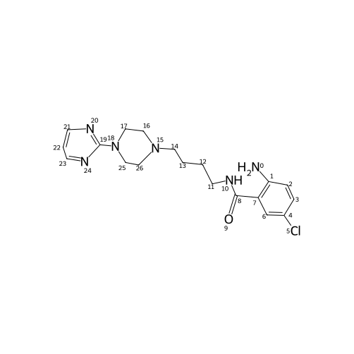 Nc1ccc(Cl)cc1C(=O)NCCCCN1CCN(c2ncccn2)CC1